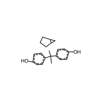 C1CC2CC2C1.CC(C)(c1ccc(O)cc1)c1ccc(O)cc1